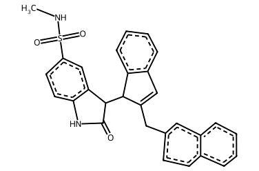 CNS(=O)(=O)c1ccc2c(c1)C(C1C(Cc3ccc4ccccc4c3)=Cc3ccccc31)C(=O)N2